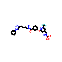 O=C(O)NCc1cc(Oc2cccc(C(=O)NCCCCc3cn(-c4ccccc4)nn3)c2)nc(C(F)(F)F)c1